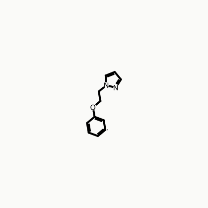 [c]1cccc(OCCn2cccn2)c1